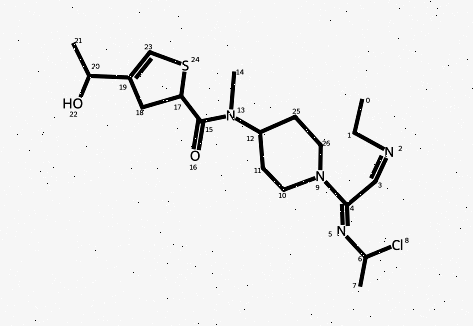 CC/N=C\C(=N/C(C)Cl)N1CCC(N(C)C(=O)C2CC(C(C)O)=CS2)CC1